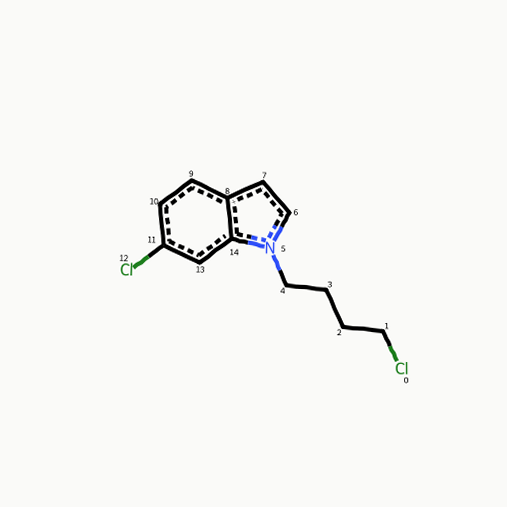 ClCCCCn1ccc2ccc(Cl)cc21